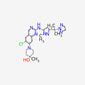 Cn1nc(C(C)(C)n2nccn2)cc1Nc1ncc2cc(Cl)c(N3CCC(C)(O)CC3)cc2n1